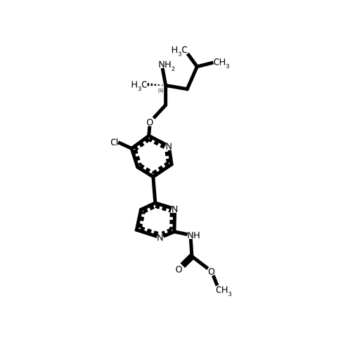 COC(=O)Nc1nccc(-c2cnc(OC[C@@](C)(N)CC(C)C)c(Cl)c2)n1